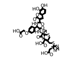 CO[C@@]1(NC(=O)C(NC(=O)c2cc3ccc(O)c(O)c3oc2=O)c2ccc(OCC(=O)O)cc2)C(=O)N2C(C(=O)O)=C(CSc3nnnn3CC(=O)O)CS[C@H]21